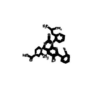 CC(C)Cc1ncccc1-n1c(=O)nc(N2CCN(C(=O)O)CC2C)c2cc(Cl)c(-c3ccccc3F)nc21